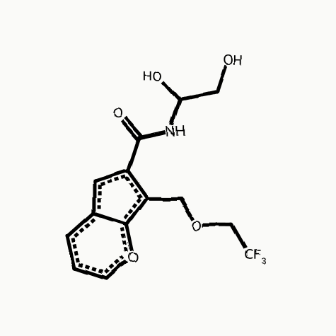 O=C(NC(O)CO)c1cc2cccoc-2c1COCC(F)(F)F